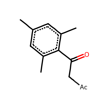 CC(=O)CC(=O)c1c(C)cc(C)cc1C